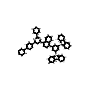 c1ccc(-c2ccc(-c3cc(-c4ccc(-c5cc(-n6c7ccccc7c7ccccc76)cc(-n6c7ccccc7c7ccccc76)c5)c5ccccc45)nc(-c4ccccc4)n3)cc2)cc1